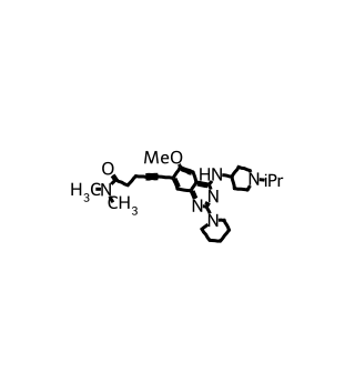 COc1cc2c(NC3CCN(C(C)C)CC3)nc(N3CCCCC3)nc2cc1C#CCCC(=O)N(C)C